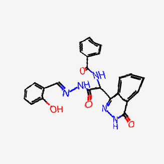 O=C(NC(C(=O)NN=Cc1ccccc1O)c1n[nH]c(=O)c2ccccc12)c1ccccc1